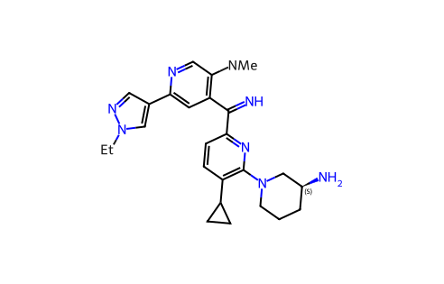 CCn1cc(-c2cc(C(=N)c3ccc(C4CC4)c(N4CCC[C@H](N)C4)n3)c(NC)cn2)cn1